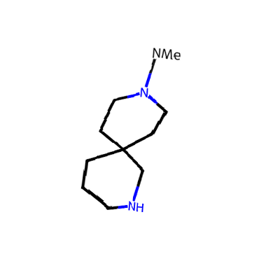 CNN1CCC2(CCCNC2)CC1